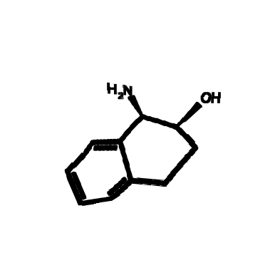 N[C@@H]1c2ccccc2CC[C@@H]1O